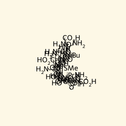 CC[C@H](C)[C@H](NC(=O)[C@H](CCCCN)NC(=O)[C@H](CCCCN)NC(=O)[C@@H](N)CCC(=O)O)C(=O)N[C@@H](C)C(=O)N[C@@H](CCCCN)C(=O)N[C@@H](CCSC)C(=O)N[C@@H](CCC(=O)O)C(=O)N[C@@H](CCCCN)C(=O)N[C@@H](C)C(=O)N[C@@H](CO)C(=O)N[C@@H](CO)C(=O)N[C@H](C(=O)N[C@@H](Cc1ccccc1)C(=O)N[C@@H](CC(N)=O)C(=O)N[C@H](C(=O)O)C(C)C)C(C)C